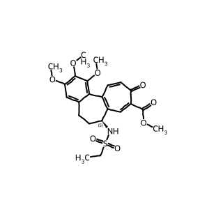 CCS(=O)(=O)N[C@H]1CCc2cc(OC)c(OC)c(OC)c2-c2ccc(=O)c(C(=O)OC)cc21